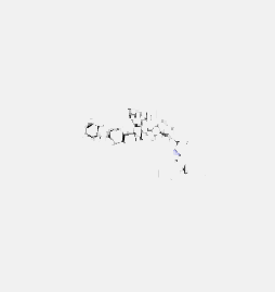 CN(C)C/C=C/C(=O)N1CC[C@]2(C1)C[C@@H](n1nc(-c3ccc(Oc4ccccc4)cc3)c(CN)c1N)C2